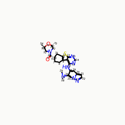 C[C@@H]1CN(C(=O)[C@H]2CCc3c(sc4ncnc(Nc5cc6ccnn6cc5N(C)C)c34)C2)C[C@@H](C)O1